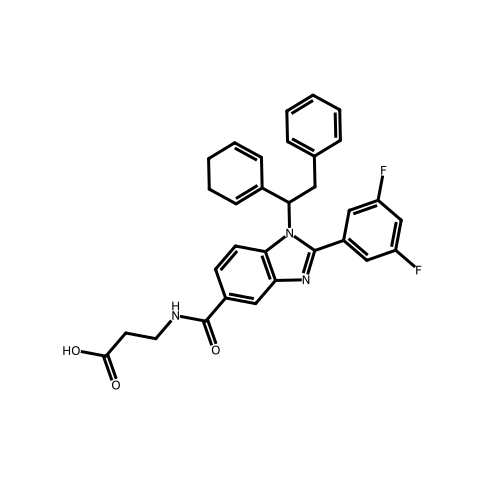 O=C(O)CCNC(=O)c1ccc2c(c1)nc(-c1cc(F)cc(F)c1)n2C(Cc1ccccc1)C1=CCCC=C1